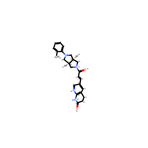 Cc1ccccc1N1C[C@H]2CN(C(=O)/C=C/c3cnc4c(c3)CCC(=O)N4)C[C@H]2C1